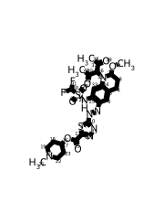 COC1CCc2cc(N=Nc3nnc(C(=O)OC4CCN(C)CC4)s3)c(NS(=O)(=O)C(F)F)cc2N1C(C(C)=O)C(C)=O